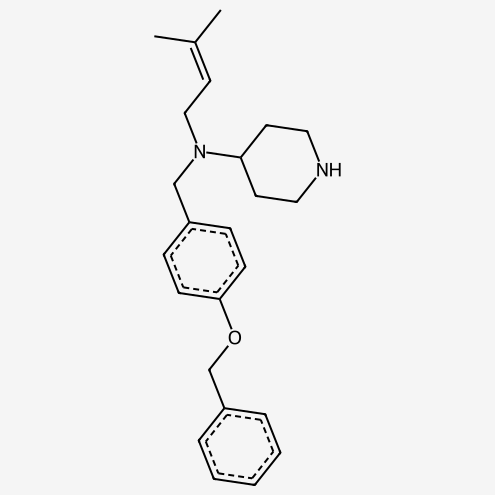 CC(C)=CCN(Cc1ccc(OCc2ccccc2)cc1)C1CCNCC1